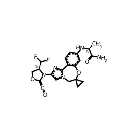 C[C@H](Nc1ccc2c(c1)OC1(CC1)Cn1cc(N3C(=C=O)OC[C@H]3C(F)F)nc1-2)C(N)=O